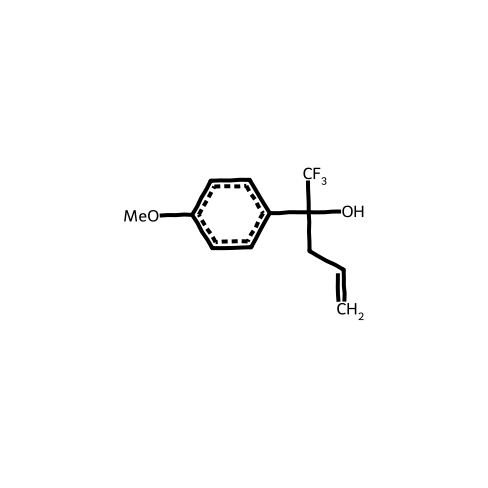 C=CCC(O)(c1ccc(OC)cc1)C(F)(F)F